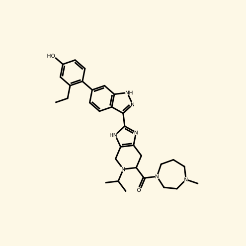 CCc1cc(O)ccc1-c1ccc2c(-c3nc4c([nH]3)CN(C(C)C)C(C(=O)N3CCCN(C)CC3)C4)n[nH]c2c1